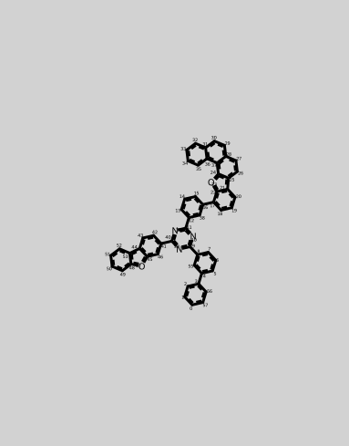 c1ccc(-c2cccc(-c3nc(-c4cccc(-c5cccc6c5oc5c6ccc6ccc7ccccc7c65)c4)nc(-c4ccc5c(c4)oc4ccccc45)n3)c2)cc1